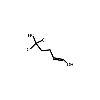 OC=CCCC(O)(Cl)Cl